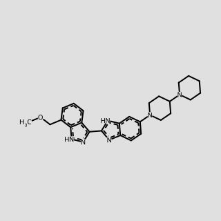 COCc1cccc2c(-c3nc4ccc(N5CCC(N6CCCCC6)CC5)cc4[nH]3)n[nH]c12